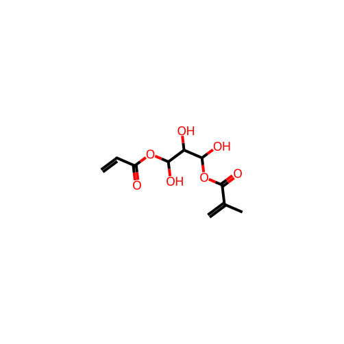 C=CC(=O)OC(O)C(O)C(O)OC(=O)C(=C)C